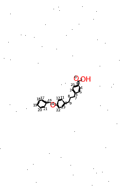 O=C(O)c1ccc(CCCc2ccc(OCc3ccccc3)cc2)cc1